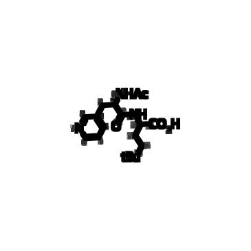 CC(=O)NC(Cc1cccnc1)C(=O)NC(CCC(C)(C)C)C(=O)O